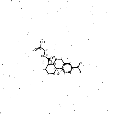 CC(C)c1ccc2c(c1)CC[C@H]1[C@](C)(C(=O)NCC(=O)O)CCC[C@]21C